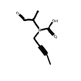 CC#CCN(C(=O)O)C(C)C=O